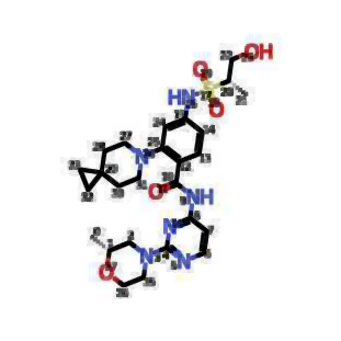 C[C@@H]1CN(c2nccc(NC(=O)c3ccc(NS(=O)(=O)[C@@H](C)CO)cc3N3CCC4(CC3)CC4)n2)CCO1